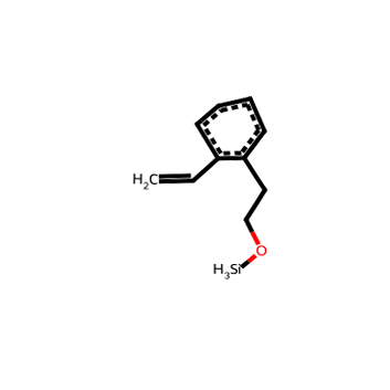 C=Cc1ccccc1CCO[SiH3]